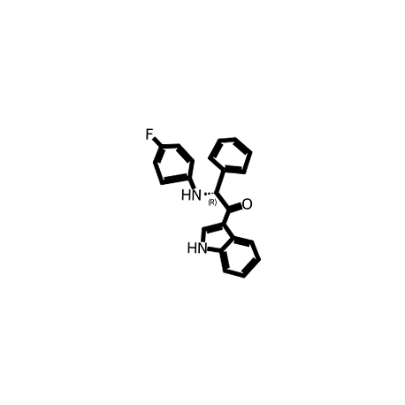 O=C(c1c[nH]c2ccccc12)[C@H](Nc1ccc(F)cc1)c1ccccc1